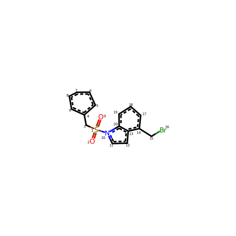 O=S(=O)(Cc1ccccc1)n1ccc2c(CBr)cccc21